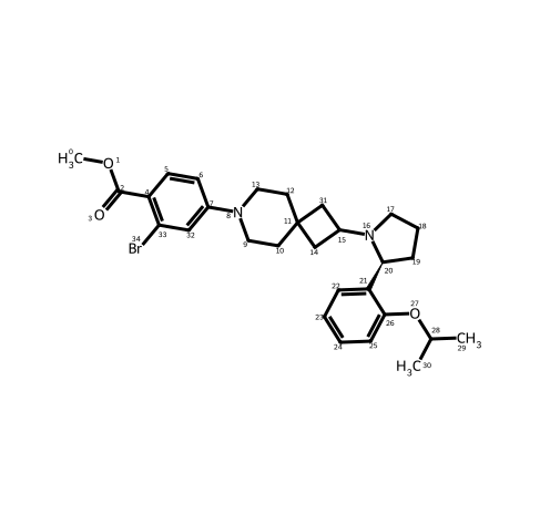 COC(=O)c1ccc(N2CCC3(CC2)CC(N2CCC[C@H]2c2ccccc2OC(C)C)C3)cc1Br